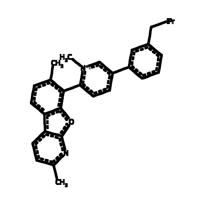 Cc1ccc2c(n1)oc1c(-c3ccc(-c4cccc(CC(C)C)c4)c[n+]3C)c(C)ccc12